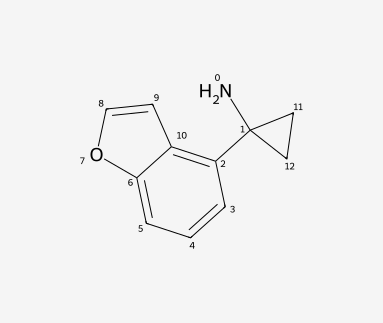 NC1(c2cccc3occc23)CC1